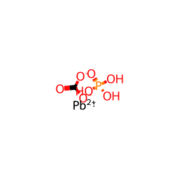 O=C([O-])[O-].O=P(O)(O)O.[Pb+2]